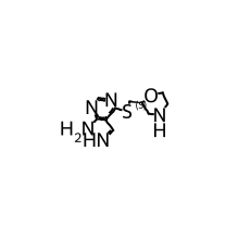 N=Cc1c(N)ncnc1SC[C@@H]1CNCCO1